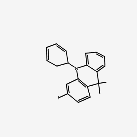 CC1(C)c2ccccc2N(C2C=CC=CC2)c2cc(I)ccc21